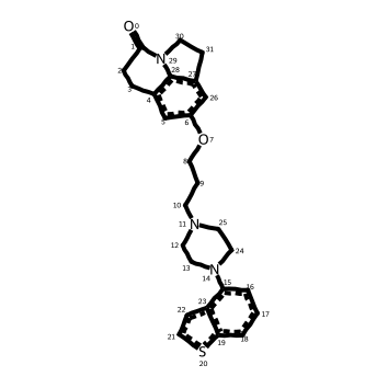 O=C1CCc2cc(OCCCN3CCN(c4cccc5sccc45)CC3)cc3c2N1CC3